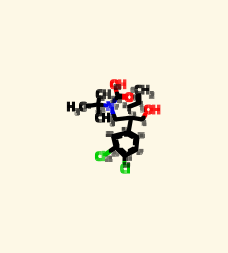 C=CC[C@@](CO)(CN(C(=O)O)C(C)(C)C)c1ccc(Cl)c(Cl)c1